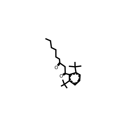 CCCCCCC(=O)CC(=O)c1c(C(C)(C)C)cccc1C(C)(C)C